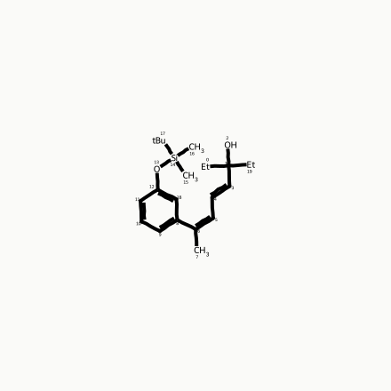 CCC(O)(/C=C/C=C(/C)c1cccc(O[Si](C)(C)C(C)(C)C)c1)CC